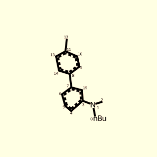 CCCCN(C)c1cccc(-c2ccc(C)cc2)c1